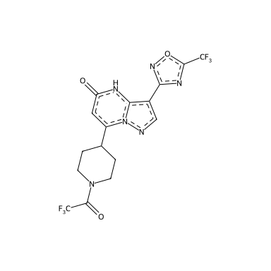 O=C(N1CCC(c2cc(=O)[nH]c3c(-c4noc(C(F)(F)F)n4)cnn23)CC1)C(F)(F)F